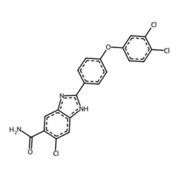 NC(=O)c1cc2nc(-c3ccc(Oc4ccc(Cl)c(Cl)c4)cc3)[nH]c2cc1Cl